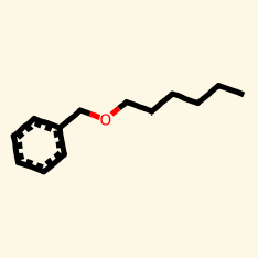 CCCC[CH]COCc1ccccc1